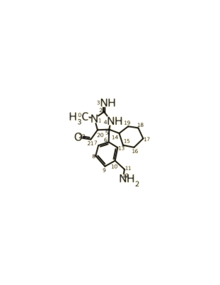 CN1C(=N)NC(c2cccc(CN)c2)(C2CCCCC2)C1C=O